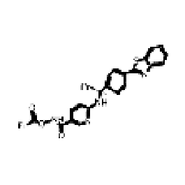 CCC(=O)ONC(=O)c1ccc(N[C@H](c2ccc(-c3nc4ccccc4s3)cc2)C(C)C)nc1